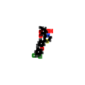 Cc1cc(O)c(C2=NCCSC(c3cccc(Oc4ccc(Cl)c(Cl)c4)c3)C2)c(=O)o1